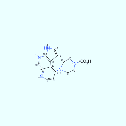 O=C(O)N1CCN(c2ccnc3cnc4[nH]ccc4c23)CC1